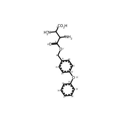 NC(C(=O)O)C(N)C(=O)OCc1ccc(Oc2ccccc2)cc1